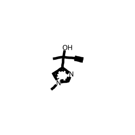 C#CC(C)(O)c1cn(C)cn1